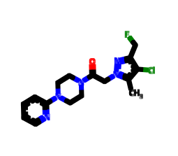 Cc1c(Cl)c(CF)nn1CC(=O)N1CCN(c2ccccn2)CC1